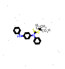 CC(C)(SC(=S)N(c1ccccc1)c1ccc(Nc2ccccc2)cc1)C(=O)O